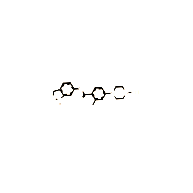 CN1CCN(c2ccc(C(=O)Nc3ccc4c(c3)B(O)OC4)c(Cl)c2)CC1